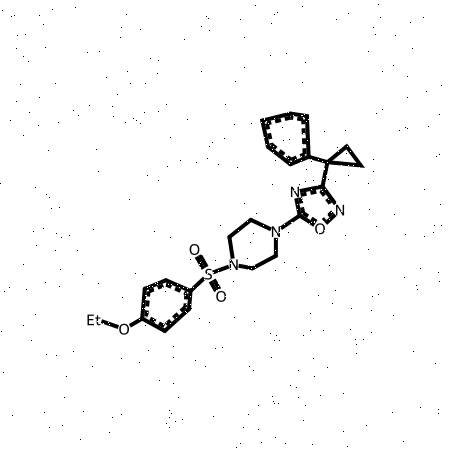 CCOc1ccc(S(=O)(=O)N2CCN(c3nc(C4(c5ccccc5)CC4)no3)CC2)cc1